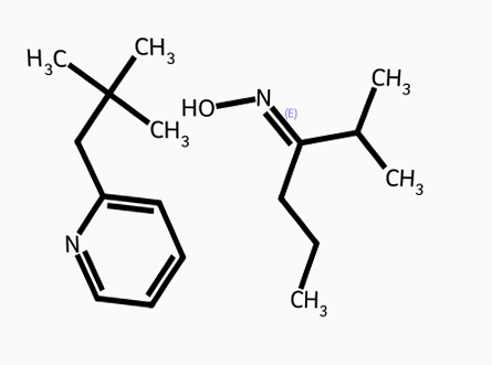 CC(C)(C)Cc1ccccn1.CCC/C(=N\O)C(C)C